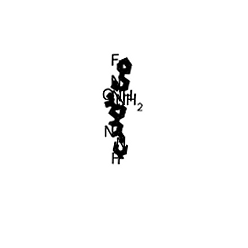 C=C(C(=O)Nc1ccc(-c2cccc(F)c2)nc1)c1cc(-c2cncc(CN3CCC(F)(F)CC3)c2)ccc1N